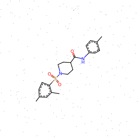 Cc1ccc(NC(=O)C2CCN(S(=O)(=O)c3ccc(C)cc3C)CC2)cc1